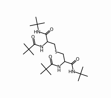 CC(C)(C)NC(=O)C(CSCC(NC(=O)C(C)(C)C)C(=O)NC(C)(C)C)NC(=O)C(C)(C)C